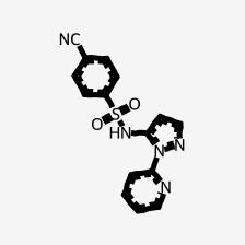 N#Cc1ccc(S(=O)(=O)Nc2ccnn2-c2ccccn2)cc1